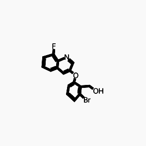 OCc1c(Br)cccc1Oc1cnc2c(F)cccc2c1